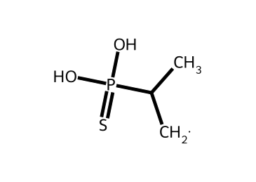 [CH2]C(C)P(O)(O)=S